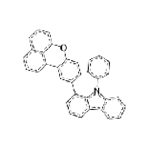 c1ccc(-n2c3ccccc3c3cccc(-c4ccc5c(c4)-c4cccc6cccc(c46)O5)c32)cc1